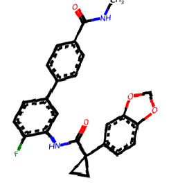 CNC(=O)c1ccc(-c2ccc(F)c(NC(=O)C3(c4ccc5c(c4)OCO5)CC3)c2)cc1